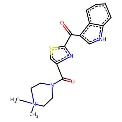 C[N+]1(C)CCN(C(=O)c2csc(C(=O)c3c[nH]c4ccccc34)n2)CC1